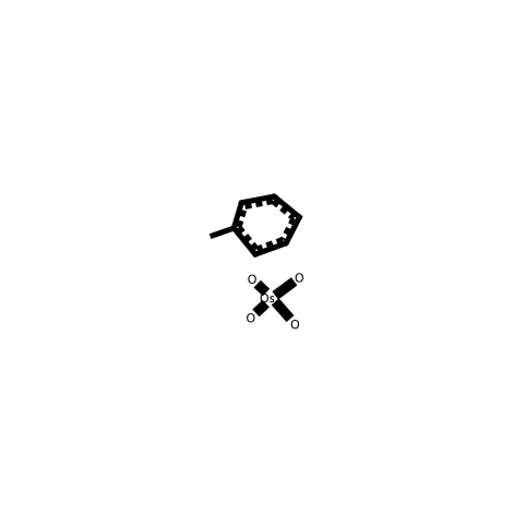 Cc1ccccc1.[O]=[Os](=[O])(=[O])=[O]